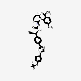 Cc1ccc(C(C)C)c(N2CCCS/C2=N\C(=O)NC(C#N)c2ccc(-c3ncn(-c4ccc(OC(F)(F)F)cc4)n3)cc2)c1